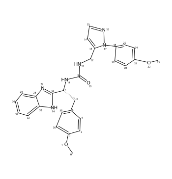 COc1ccc(C[C@@H](NC(=O)NCc2ccnn2-c2ccc(OC)cc2)c2nc3ccccc3[nH]2)cc1